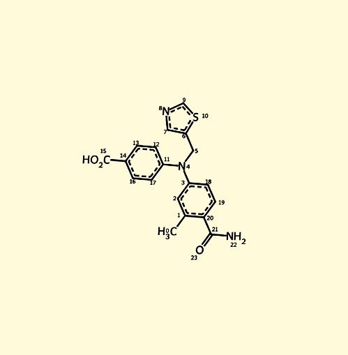 Cc1cc(N(Cc2cncs2)c2ccc(C(=O)O)cc2)ccc1C(N)=O